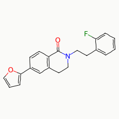 O=C1c2ccc(-c3ccco3)cc2CCN1CCc1ccccc1F